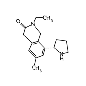 CCN1Cc2c(cc(C)cc2[C@@H]2CCCN2)CC1=O